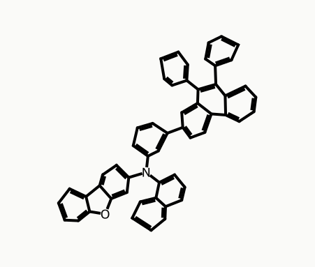 c1ccc(-c2c(-c3ccccc3)c3cc(-c4cccc(N(c5ccc6c(c5)oc5ccccc56)c5cccc6ccccc56)c4)ccc3c3ccccc23)cc1